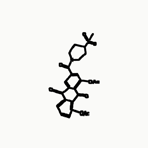 CC(=O)Oc1cccc2c1C(=O)c1c(OC(C)=O)cc(C(=O)N3CCC(S(C)(=O)=O)CC3)cc1C2=O